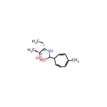 CC[C@H](NC(O)C1C=CC=C(C)C=C1)[C@H](C)O